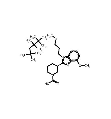 CC(C)(C)CC(C)(C)C(C)(C)C.COCCCn1c([C@@H]2CCCN(C(=O)O)C2)nc2c(OC)cccc21